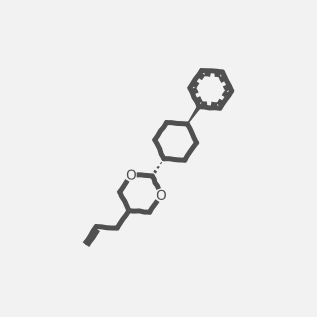 C=CCC1COC([C@H]2CC[C@H](c3ccccc3)CC2)OC1